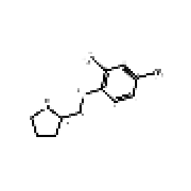 O=[N+]([O-])c1cc(C(F)(F)F)ccc1OCC1CCCO1